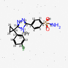 CC(C)n1c(-c2ccc(S(N)(=O)=O)cc2)nnc1C1(c2ccc(F)cc2)CC1